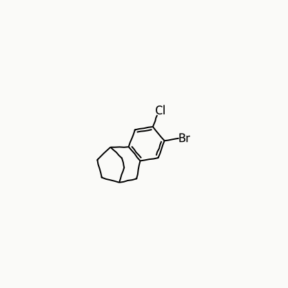 Clc1cc2c(cc1Br)CC1CCC2CC1